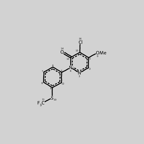 COc1cnn(-c2cccc(SC(F)(F)F)c2)c(=O)c1Cl